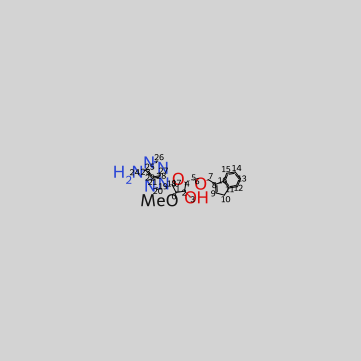 CO[C@@H]1[C@H](O)[C@@H](COCC2=CCc3ccccc32)O[C@H]1n1cnc2c(N)ncnc21